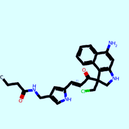 CCCC(=O)NCc1c[nH]c(/C=C/C(=O)C2(CCl)CNc3cc(N)c4ccccc4c32)c1